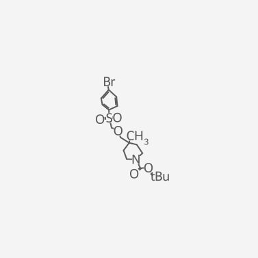 CC1(COCS(=O)(=O)c2ccc(Br)cc2)CCN(C(=O)OC(C)(C)C)CC1